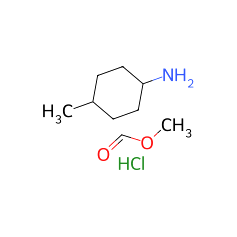 CC1CCC(N)CC1.COC=O.Cl